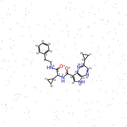 O=C(NC(C(=O)NCCc1ccccc1)C1CC1)c1c[nH]c2ncc(C3CC3)nc12